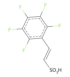 O=S(=O)(O)C=Cc1c(F)c(F)c(F)c(F)c1F